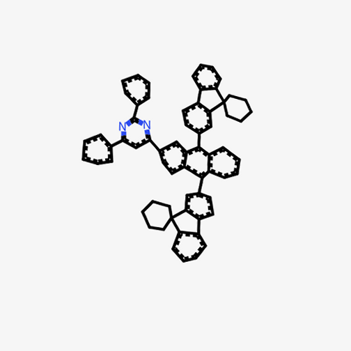 c1ccc(-c2cc(-c3ccc4c(-c5ccc6c(c5)C5(CCCCC5)c5ccccc5-6)c5ccccc5c(-c5ccc6c(c5)C5(CCCCC5)c5ccccc5-6)c4c3)nc(-c3ccccc3)n2)cc1